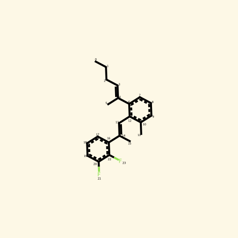 CCC/C=C(\C)c1cccc(C)c1/C=C(\C)c1cccc(F)c1F